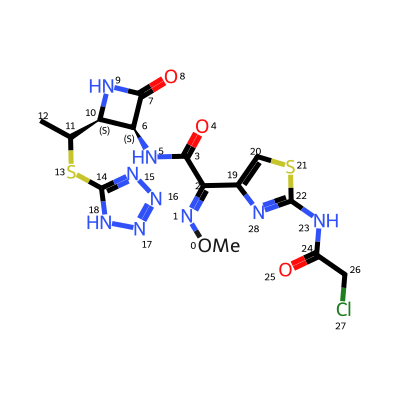 CON=C(C(=O)N[C@@H]1C(=O)N[C@@H]1C(C)Sc1nnn[nH]1)c1csc(NC(=O)CCl)n1